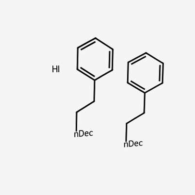 CCCCCCCCCCCCc1ccccc1.CCCCCCCCCCCCc1ccccc1.I